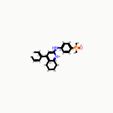 C/C=C\C(=C/C)c1cc(Nc2ccc(P(C)(C)=O)cc2)nc2c1CCCC2